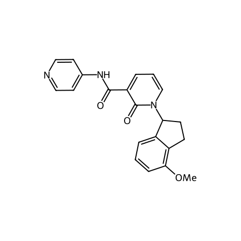 COc1cccc2c1CCC2n1cccc(C(=O)Nc2ccncc2)c1=O